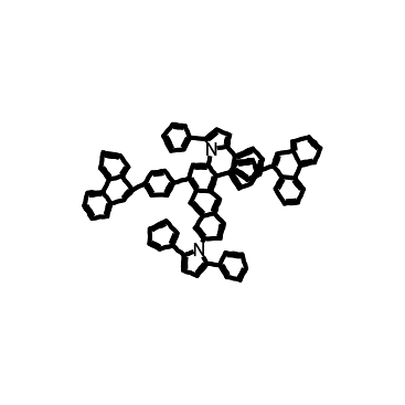 c1ccc(-c2ccc(-c3ccccc3)n2-c2ccc3cc4c(-c5ccc(-c6cc7ccccc7c7ccccc67)cc5)c(-n5c(-c6ccccc6)ccc5-c5ccccc5)cc(-c5ccc(-c6cc7ccccc7c7ccccc67)cc5)c4cc3c2)cc1